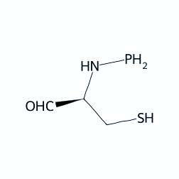 O=C[C@H](CS)NP